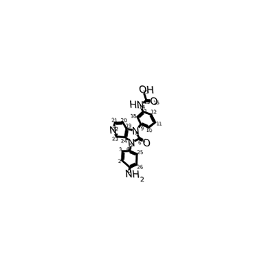 Nc1ccc(-n2c(=O)n(-c3cccc(NC(=O)O)c3)c3ccncc32)cc1